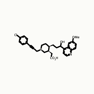 COc1ccc2nccc(C(O)CC[C@@H]3CCN(CC#Cc4ccc(Cl)cc4)C[C@@H]3CC(=O)O)c2c1